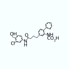 O=C(O)Nc1cc(CCCC(=O)Nc2ccc(CO)c(Cl)c2)ccc1-c1ccccc1